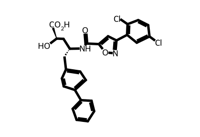 O=C(N[C@H](Cc1ccc(-c2ccccc2)cc1)C[C@@H](O)C(=O)O)c1cc(-c2cc(Cl)ccc2Cl)no1